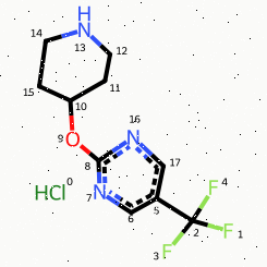 Cl.FC(F)(F)c1cnc(OC2CCNCC2)nc1